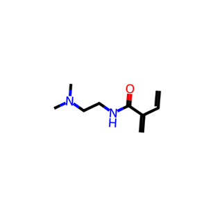 C=CC(=C)C(=O)NCCN(C)C